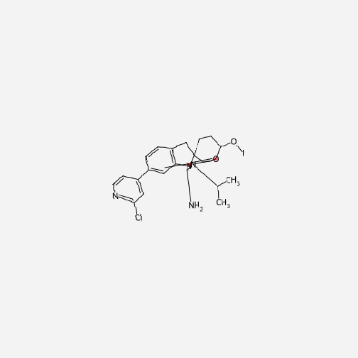 CC(C)N1C(=O)C2(N=C1N)c1cc(-c3ccnc(Cl)c3)ccc1CC21CCC(OI)CC1